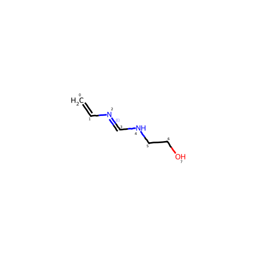 C=C/N=C/NCCO